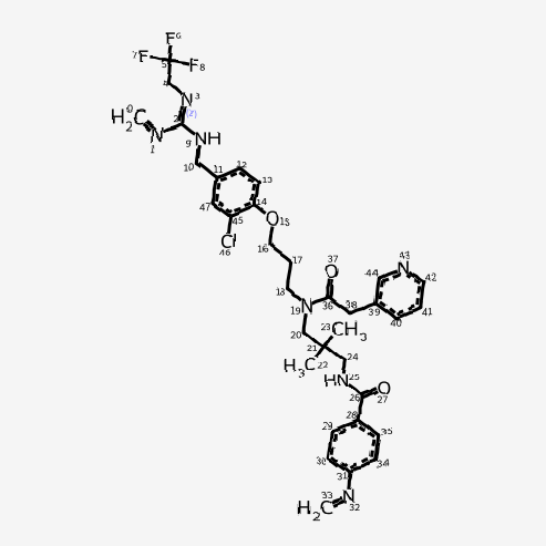 C=N/C(=N\CC(F)(F)F)NCc1ccc(OCCCN(CC(C)(C)CNC(=O)c2ccc(N=C)cc2)C(=O)Cc2cccnc2)c(Cl)c1